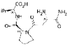 CC(C)[C@H](NC(=O)[C@@H]1CCCN1C(=O)C[C@H](N)C(N)=O)C(=O)O